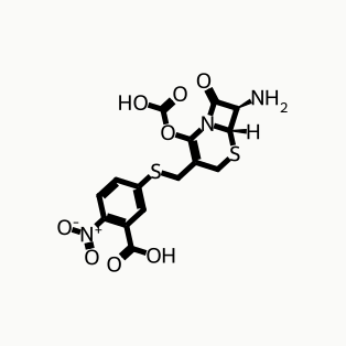 N[C@@H]1C(=O)N2C(OC(=O)O)=C(CSc3ccc([N+](=O)[O-])c(C(=O)O)c3)CS[C@@H]12